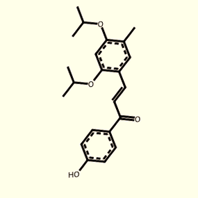 Cc1cc(/C=C/C(=O)c2ccc(O)cc2)c(OC(C)C)cc1OC(C)C